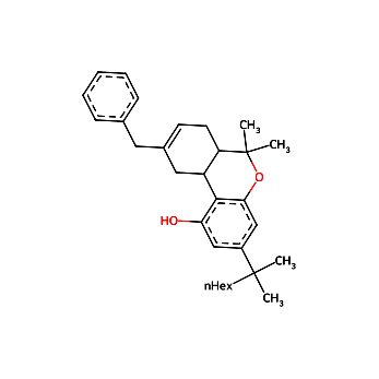 CCCCCCC(C)(C)c1cc(O)c2c(c1)OC(C)(C)C1CC=C(Cc3ccccc3)CC21